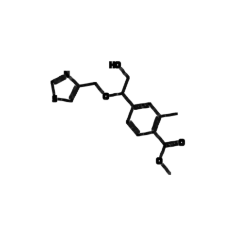 COC(=O)c1ccc(C(CO)OCc2cscn2)cc1C